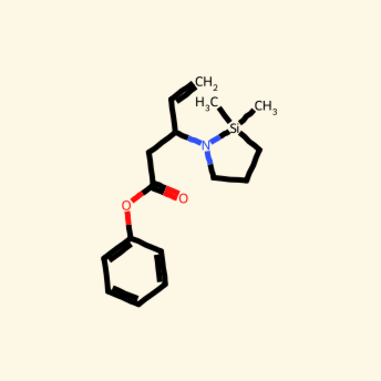 C=CC(CC(=O)Oc1ccccc1)N1CCC[Si]1(C)C